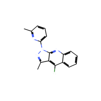 Cc1cccc(-n2nc(C)c3c(Cl)c4ccccc4nc32)n1